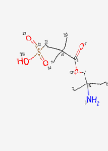 CC(C)(N)COC(=O)C(C)(C)CS(=O)(=O)O